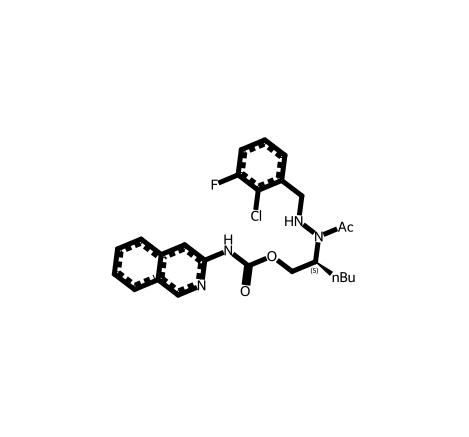 [CH2]CCC[C@@H](COC(=O)Nc1cc2ccccc2cn1)N(NCc1cccc(F)c1Cl)C(C)=O